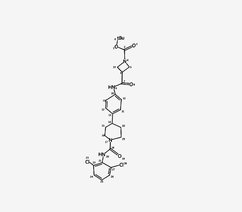 CC(C)(C)OC(=O)N1CC(C(=O)Nc2ccc(C3CCN(C(=O)Nc4c(Cl)cccc4Cl)CC3)cc2)C1